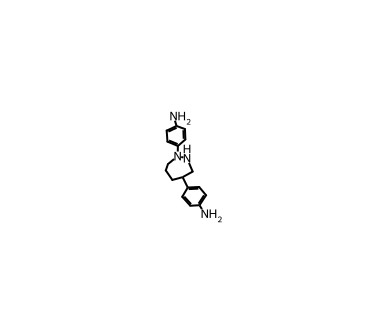 Nc1ccc(C2CCCN(c3ccc(N)cc3)NC2)cc1